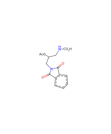 CC(=O)OC(CNC(=O)O)CN1C(=O)c2ccccc2C1=O